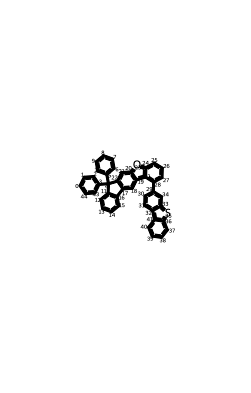 c1ccc(C2(c3ccccc3)c3ccccc3-c3cc4c(cc32)oc2cccc(-c3ccc5c(c3)sc3ccccc35)c24)cc1